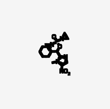 Cn1c([N+](=O)[O-])cnc1C(OP(=O)(N1CC1)N1CC1)C1CCCCC1